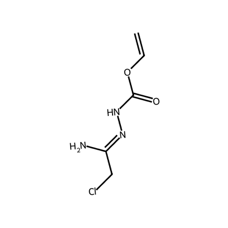 C=COC(=O)NN=C(N)CCl